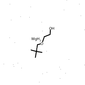 CC(C)(C)COCCO.[MgH2]